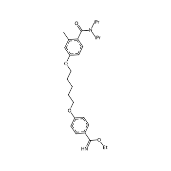 CCOC(=N)c1ccc(OCCCCCOc2ccc(C(=O)N(C(C)C)C(C)C)c(C)c2)cc1